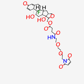 C[C@@H]1C[C@H]2[C@@H]3CCC4=CC(=O)C=C[C@]4(C)[C@@]3(F)[C@@H](O)C[C@]2(C)[C@@]1(O)C(=O)COC(=O)CCC(=O)NCCOCCOCCN1C(=O)C=CC1=O